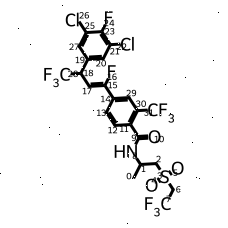 CC(CS(=O)(=O)CC(F)(F)F)NC(=O)c1ccc(/C(F)=C/C(c2cc(Cl)c(F)c(Cl)c2)C(F)(F)F)cc1C(F)(F)F